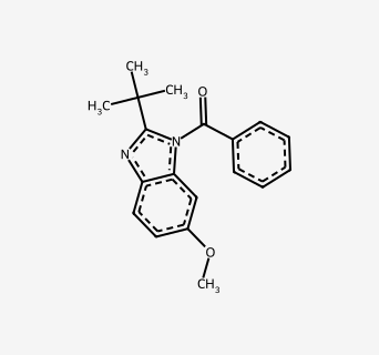 COc1ccc2nc(C(C)(C)C)n(C(=O)c3ccccc3)c2c1